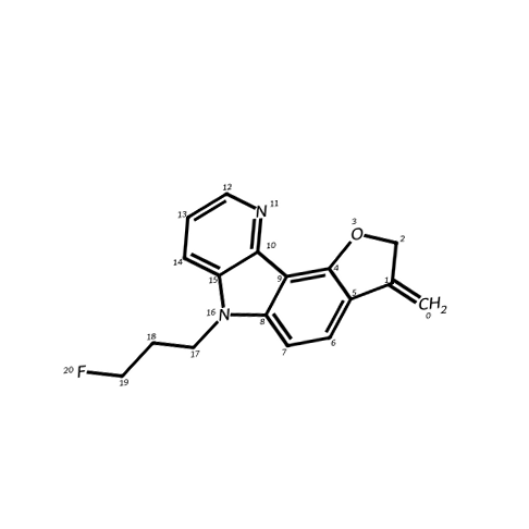 C=C1COc2c1ccc1c2c2ncccc2n1CCCF